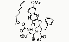 C=CCCCC[C@@H]1C[C@H]1OC(=O)N[C@H](C(=O)N1C[C@H](Oc2nc3cc(OC)ccc3nc2Cl)[C@@H](Cc2ccccc2)[C@H]1C(=O)OCC(C)C)C(C)(C)C